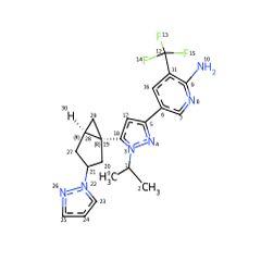 CC(C)n1nc(-c2cnc(N)c(C(F)(F)F)c2)cc1[C@]12CC(n3cccn3)C[C@H]1C2